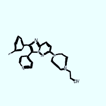 OCCN1CCN(c2ccc3nc(-c4cccc(F)c4)c(-c4ccncc4)n3n2)CC1